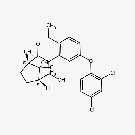 CCc1ccc(Oc2ccc(Cl)cc2Cl)cc1C1=C(O)[C@@H]2CC[C@](C)(C1=O)C2(C)C